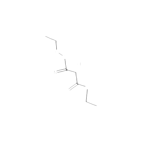 CCOOC(=N)CC(=O)OCC.Cl